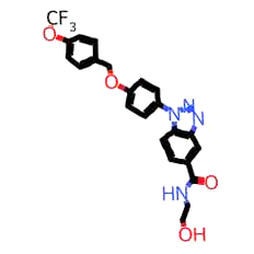 O=C(NCCO)c1ccc2c(c1)nnn2-c1ccc(OCc2ccc(OC(F)(F)F)cc2)cc1